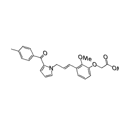 COC(=O)COc1cccc(/C=C/Cn2cccc2C(=O)c2ccc(C)cc2)c1OC